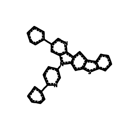 c1ccc(-c2cnc3c4cc5c(cc4n(-c4ccc(-c6ccccc6)nc4)c3c2)sc2ccccc25)cc1